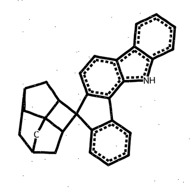 c1ccc2c(c1)-c1c(ccc3c1[nH]c1ccccc13)C21C2CC3CC4CC1C2(C3)C4